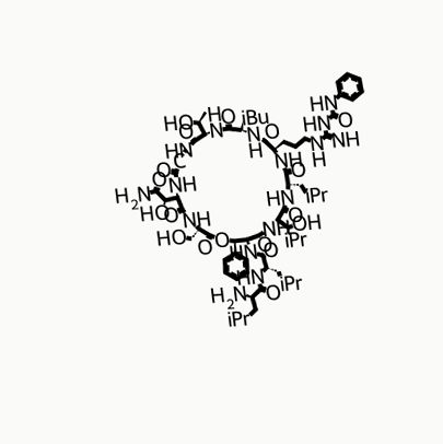 CC[C@H](C)[C@@H]1NC(=O)[C@@H](CCCNC(=N)NC(=O)Nc2ccccc2)NC(=O)[C@H](CC(C)C)NC(=O)[C@H]([C@H](O)C(C)C)NC(=O)[C@@H](NC(=O)[C@H](CC(C)C)NC(=O)[C@H](N)CC(C)C)[C@@H](c2ccccc2)OC(=O)[C@H](CO)NC(=O)[C@H]([C@H](O)C(N)=O)NC(=O)CNC(=O)[C@H]([C@H](C)O)NC1=O